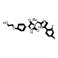 CC[C@H](C)[C@@H](c1ncc(-c2ccc(I)cc2F)[nH]1)N1C(=O)N[C@H](c2ccc(OCCO)cc2)C1=O